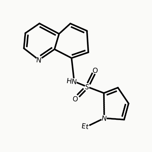 CCn1cccc1S(=O)(=O)Nc1cccc2cccnc12